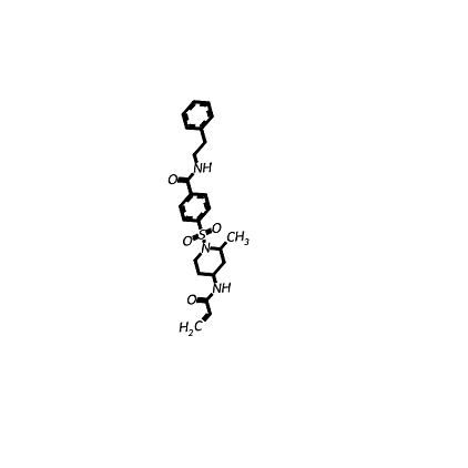 C=CC(=O)NC1CCN(S(=O)(=O)c2ccc(C(=O)NCCc3ccccc3)cc2)C(C)C1